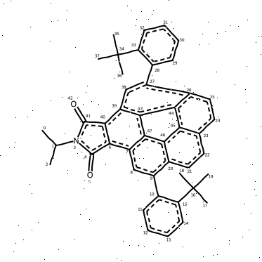 CC(C)n1c(=O)c2c3cc(-c4ccccc4C(C)(C)C)c4ccc5ccc6c(-c7ccccc7C(C)(C)C)cc(c2c1=O)c1c6c5c4c31